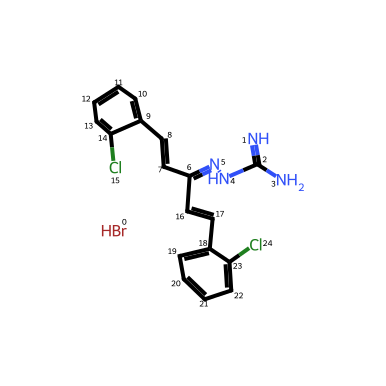 Br.N=C(N)NN=C(C=Cc1ccccc1Cl)C=Cc1ccccc1Cl